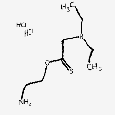 CCN(CC)CC(=S)OCCN.Cl.Cl